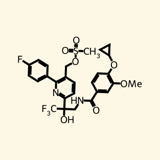 COc1cc(C(=O)NCC(O)(c2ccc(COS(C)(=O)=O)c(-c3ccc(F)cc3)n2)C(F)(F)F)ccc1OC1CC1